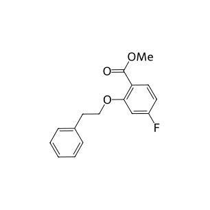 COC(=O)c1ccc(F)cc1OCCc1ccccc1